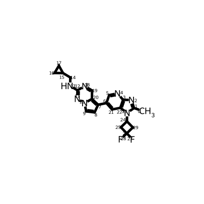 Cc1nc2ncc(-c3ccn4nc(NCC5CC5)ncc34)cc2n1C1CC(F)(F)C1